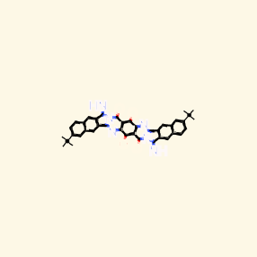 CC(C)(C)c1ccc2cc3c(=N)n4c(=O)c5c(=O)c6nc7c8cc9cc(C(C)(C)C)ccc9cc8c(=N)n7c(=O)c6c(=O)c5nc4c3cc2c1